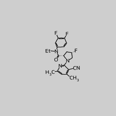 CCN(C(=O)[C@@H]1C[C@H](F)CN1c1nc(C)cc(C)c1C#N)c1ccc(F)c(F)c1